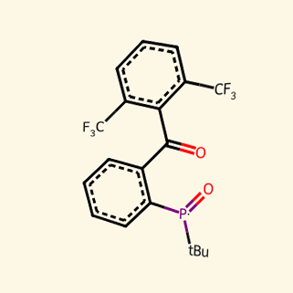 CC(C)(C)[P](=O)c1ccccc1C(=O)c1c(C(F)(F)F)cccc1C(F)(F)F